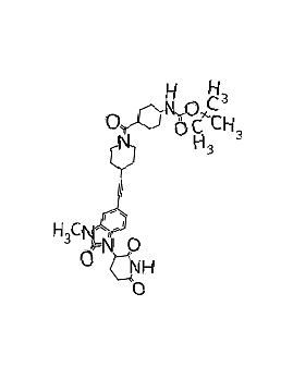 Cn1c(=O)n(C2CCC(=O)NC2=O)c2ccc(C#CC3CCN(C(=O)C4CCC(NC(=O)OC(C)(C)C)CC4)CC3)cc21